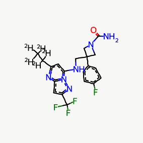 [2H]C([2H])([2H])C([2H])([2H])c1cc(NCC2(c3ccc(F)cc3)CN(C(N)=O)C2)n2nc(C(F)(F)F)cc2n1